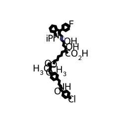 CC(C)n1c(/C=C/C(O)CC(O)C(CCCCCOC(=O)C(C)(C)Oc2ccc(CCNC(=O)c3ccc(Cl)cc3)cc2)C(=O)O)c(-c2ccc(F)cc2)c2ccccc21